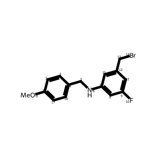 COc1ccc(CNc2cc(F)cc(CBr)c2)cc1